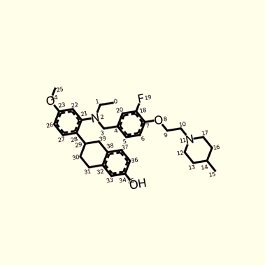 CCN(Cc1ccc(OCCN2CCC(C)CC2)c(F)c1)c1cc(OC)ccc1C1CCc2cc(O)ccc2C1